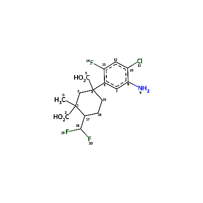 CC1(C(=O)O)CC(C(=O)O)(c2cc(N)c(Cl)cc2F)CCC1C(F)F